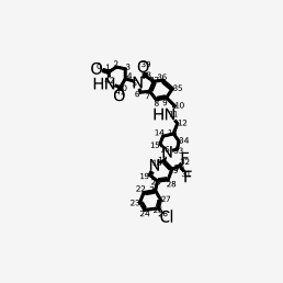 O=C1CCC(N2Cc3cc(CNCC4CCN(c5ncc(-c6cccc(Cl)c6)cc5C(F)F)CC4)ccc3C2=O)C(=O)N1